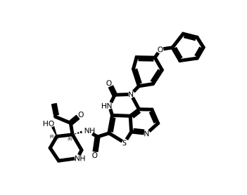 C=CC(=O)[C@@]1(NC(=O)c2sc3nccc4c3c2NC(=O)N4c2ccc(Oc3ccccc3)cc2)CNCC[C@H]1O